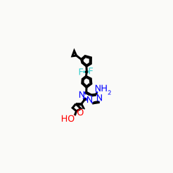 Nc1nccn2c(C3=C4CC(CO)(C4)OC3)nc(-c3ccc(C(F)(F)c4cccc(C5CC5)c4)cc3)c12